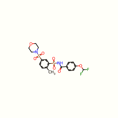 Cc1ccc(S(=O)(=O)N2CCOCC2)cc1S(=O)(=O)NC(=O)c1ccc(OC(F)F)cc1